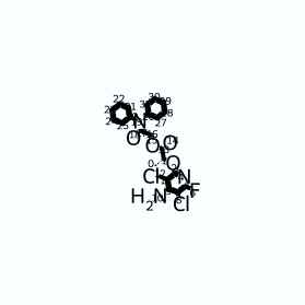 C[C@@H](Oc1nc(F)c(Cl)c(N)c1Cl)C(=O)OCC(=O)N(c1ccccc1)c1ccccc1